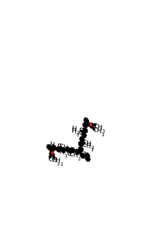 CCCCCCC1(CCCCCC)c2ccccc2-c2ccc(-c3ccc4c(c3)C(C)(C)c3cc(-c5ccc6c(c5)C(C)(C)c5cc(-c7ccc8c(c7)c7cc(-c9ccc%10c(c9)C(C)(C)c9cc(-c%11ccc%12c(c%11)C(C)(C)c%11cc(-c%13ccc%14c(c%13)C(CCCCCC)(CCCCCC)c%13ccccc%13-%14)ccc%11-%12)ccc9-%10)ccc7n8-c7cccc(-c8nccc9ccccc89)c7)ccc5-6)ccc3-4)cc21